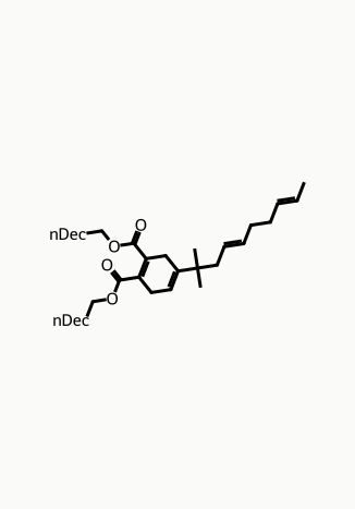 CC=CCCC=CCC(C)(C)C1=CCC(C(=O)OCCCCCCCCCCC)=C(C(=O)OCCCCCCCCCCC)C1